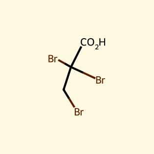 O=C(O)C(Br)(Br)CBr